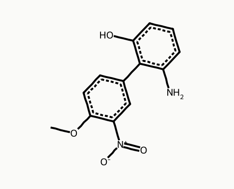 COc1ccc(-c2c(N)cccc2O)cc1[N+](=O)[O-]